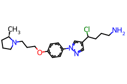 C[C@@H]1CCCN1CCCOc1ccc(-n2cc(C(Cl)CCCN)cn2)cc1